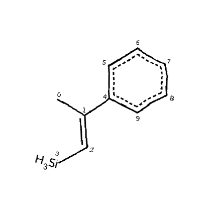 CC(=C[SiH3])c1ccccc1